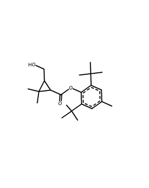 Cc1cc(C(C)(C)C)c(OC(=O)C2C(CO)C2(C)C)c(C(C)(C)C)c1